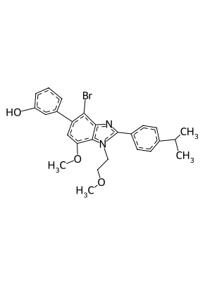 COCCn1c(-c2ccc(C(C)C)cc2)nc2c(Br)c(-c3cccc(O)c3)cc(OC)c21